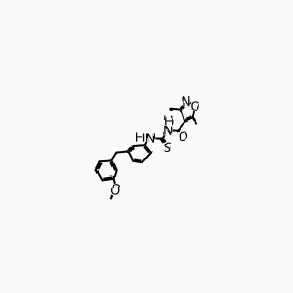 COc1cccc(Cc2cccc(NC(=S)NC(=O)c3c(C)noc3C)c2)c1